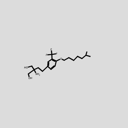 CC(C)CCCCCOc1ccc(CCC(N)(CO)CO)cc1C(F)(F)F